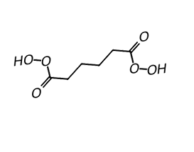 O=C(CCCCC(=O)OO)OO